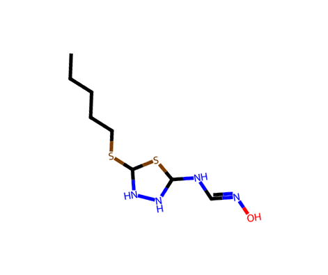 CCCCCSC1NNC(N/C=N/O)S1